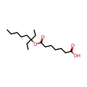 CCCCCC(CC)(CC)OC(=O)CCCCCC(=O)O